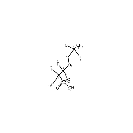 CC(O)(O)COC(F)(F)C(F)(F)S(=O)(=O)O